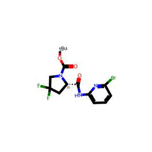 CC(C)(C)OC(=O)N1CC(F)(F)C[C@H]1C(=O)Nc1cccc(Br)n1